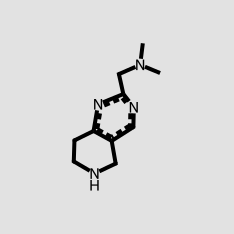 CN(C)Cc1ncc2c(n1)CCNC2